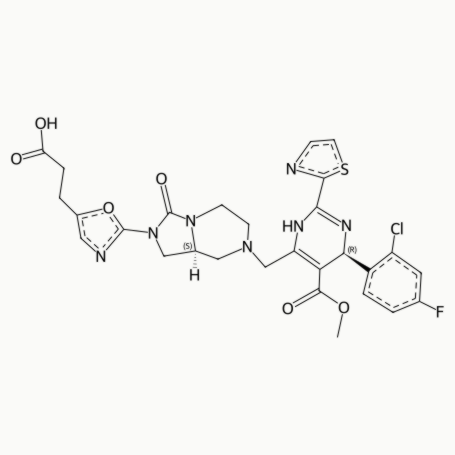 COC(=O)C1=C(CN2CCN3C(=O)N(c4ncc(CCC(=O)O)o4)C[C@@H]3C2)NC(c2nccs2)=N[C@H]1c1ccc(F)cc1Cl